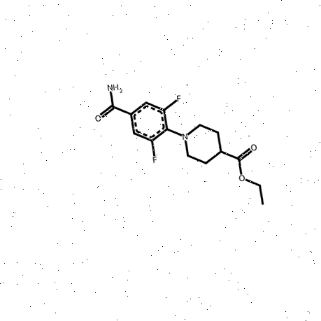 CCOC(=O)C1CCN(c2c(F)cc(C(N)=O)cc2F)CC1